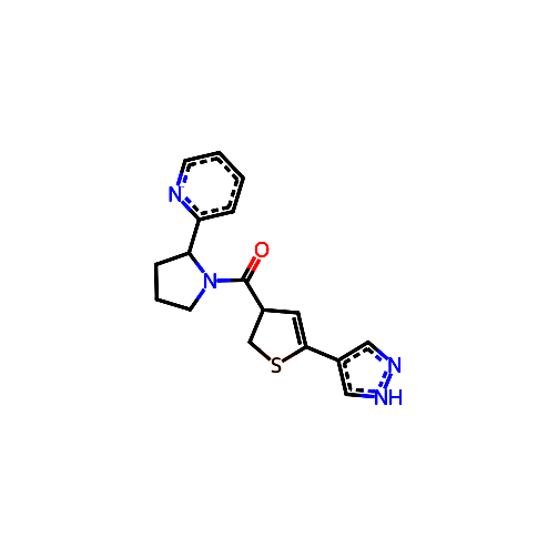 O=C(C1C=C(c2cn[nH]c2)SC1)N1CCCC1c1ccccn1